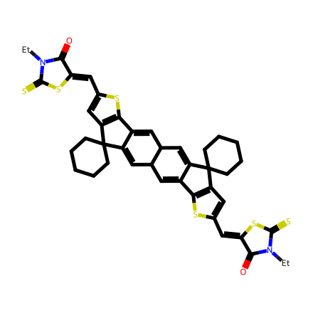 CCN1C(=O)/C(=C/c2cc3c(s2)C2=CC4C=C5C(=CC4C=C2C32CCCCC2)c2sc(/C=C3\SC(=S)N(CC)C3=O)cc2C52CCCCC2)SC1=S